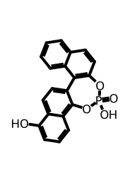 O=P1(O)Oc2ccc3ccccc3c2-c2ccc3c(O)cccc3c2O1